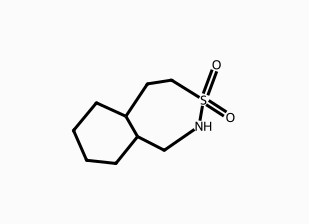 O=S1(=O)CCC2CCCCC2CN1